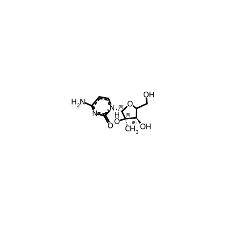 C[C@@]1(O)[C@H](O)C(CO)O[C@H]1n1ccc(N)nc1=O